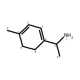 CC1=CC=C(C(C)N)CC1